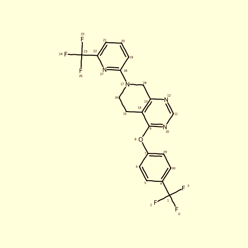 FC(F)(F)c1ccc(Oc2ncnc3c2CCN(c2cccc(C(F)(F)F)n2)C3)cc1